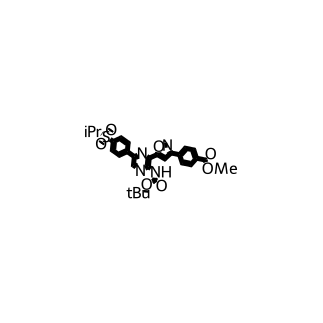 COC(=O)c1ccc(-c2cc(-c3nc(-c4ccc(S(=O)(=O)C(C)C)cc4)cnc3NC(=O)OC(C)(C)C)on2)cc1